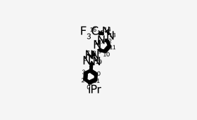 CC(C)c1ccc(-c2nnn(-c3ccc4nnc(C(F)(F)F)n4n3)n2)cc1